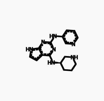 c1cncc(Nc2nc(N[C@@H]3CCCNC3)c3cc[nH]c3n2)c1